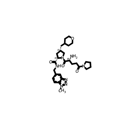 Cn1nnc2cc(CNC(=O)[C@@H]3C[C@H](CC4CCOCC4)CN3C(=O)[C@H](N)CCC(=O)N3CCCC3)ccc21